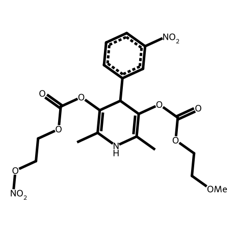 COCCOC(=O)OC1=C(C)NC(C)=C(OC(=O)OCCO[N+](=O)[O-])C1c1cccc([N+](=O)[O-])c1